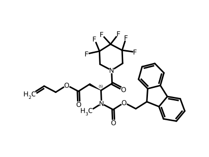 C=CCOC(=O)C[C@@H](C(=O)N1CC(F)(F)C(F)(F)C(F)(F)C1)N(C)C(=O)OCC1c2ccccc2-c2ccccc21